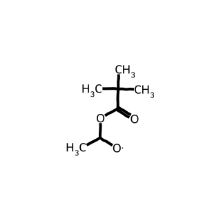 CC([O])OC(=O)C(C)(C)C